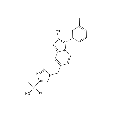 CCC(C)(O)c1cn(Cc2ccn3c(-c4ccnc(C)c4)c(C#N)cc3c2)nn1